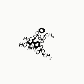 CCOC(=O)Oc1ccc(C(C(C)COC(=O)OC2CCCCC2)[C@H](N)C(=O)O)cc1OC(=O)OCC